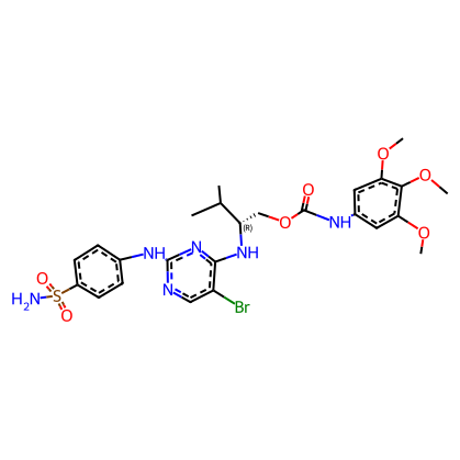 COc1cc(NC(=O)OC[C@H](Nc2nc(Nc3ccc(S(N)(=O)=O)cc3)ncc2Br)C(C)C)cc(OC)c1OC